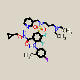 CCN(CC)CCCN(Cc1cccnc1)S(=O)(=O)c1cc(C(=O)NOCC2CC2)c(Nc2ccc(I)cc2C)c(F)c1F